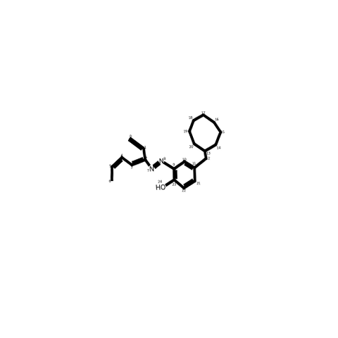 C=CC(=C\C=C/C)/N=N/c1cc(CC2CCCCCCC2)ccc1O